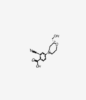 N#Cc1cc(N2CCO[C@@H](CO)C2)ccc1C(=O)O